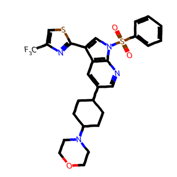 O=S(=O)(c1ccccc1)n1cc(-c2nc(C(F)(F)F)cs2)c2cc(C3CCC(N4CCOCC4)CC3)cnc21